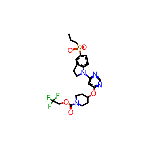 CCCS(=O)(=O)c1ccc2c(c1)CCN2c1cc(OC2CCN(C(=O)OCC(F)(F)F)CC2)ncn1